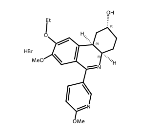 Br.CCOc1cc2c(cc1OC)C(c1ccc(OC)nc1)=N[C@@H]1CC[C@@H](O)C[C@H]21